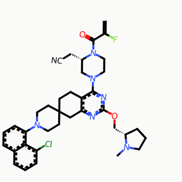 C=C(F)C(=O)N1CCN(c2nc(OC[C@@H]3CCCN3C)nc3c2CCC2(CCN(c4cccc5cccc(Cl)c45)CC2)C3)C[C@@H]1CC#N